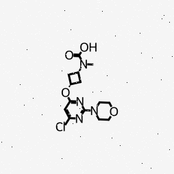 CN(C(=O)O)[C@H]1C[C@H](Oc2cc(Cl)nc(N3CCOCC3)n2)C1